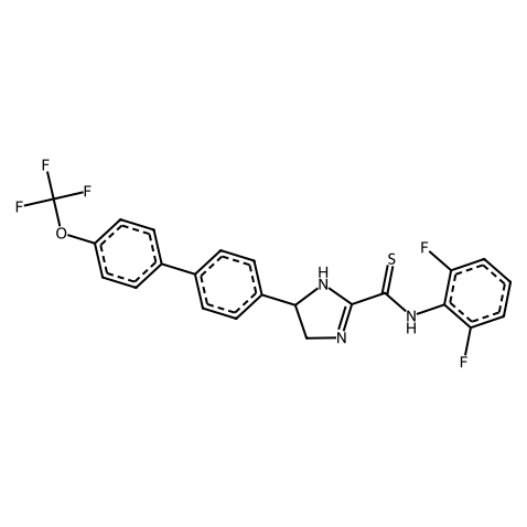 Fc1cccc(F)c1NC(=S)C1=NCC(c2ccc(-c3ccc(OC(F)(F)F)cc3)cc2)N1